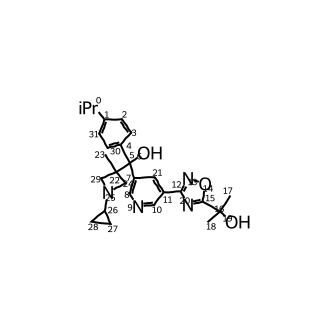 CC(C)c1ccc(C(O)(c2cncc(-c3noc(C(C)(C)O)n3)c2)C2(C)CN(C3CC3)C2)cc1